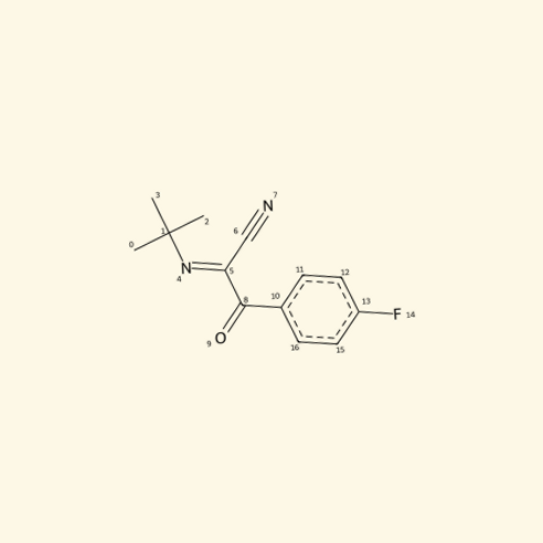 CC(C)(C)/N=C(\C#N)C(=O)c1ccc(F)cc1